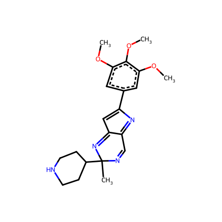 COc1cc(C2=CC3=NC(C)(C4CCNCC4)N=CC3=N2)cc(OC)c1OC